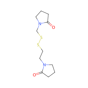 O=C1CCCN1CCSSCN1CCCC1=O